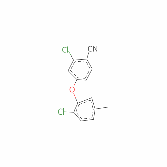 Cc1ccc(Cl)c(Oc2ccc(C#N)c(Cl)c2)c1